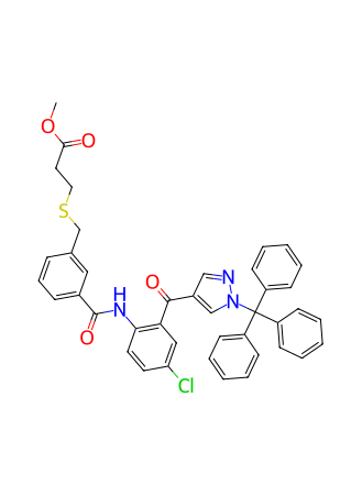 COC(=O)CCSCc1cccc(C(=O)Nc2ccc(Cl)cc2C(=O)c2cnn(C(c3ccccc3)(c3ccccc3)c3ccccc3)c2)c1